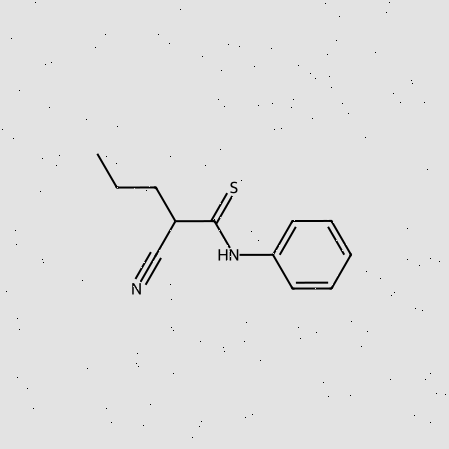 CCCC(C#N)C(=S)Nc1ccccc1